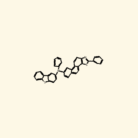 c1ccc(-c2nc3ccc4c5cc(N(c6ccccc6)c6ccc7sc8ccccc8c7c6)ccc5ccc4c3s2)cc1